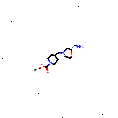 CC(C)(C)OC(=O)N1CCC(CN2CCO[C@@H](CN)C2)CC1